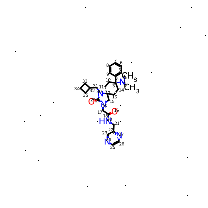 CN(C)[C@]1(c2ccccc2)CC[C@]2(CC1)CN(CC(=O)NCc1cnccn1)C(=O)N2CC1CCC1